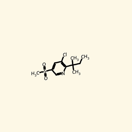 CCC(C)(C)c1ncc(S(C)(=O)=O)cc1Cl